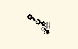 O=C(Nc1cc(C2CCN(CCc3ccccc3)CC2)c[nH]1)c1ccco1